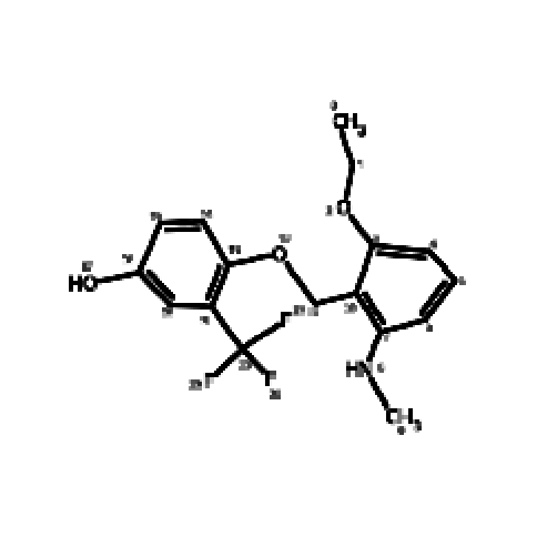 CCOc1cccc(NC)c1COc1ccc(O)cc1C(F)(F)F